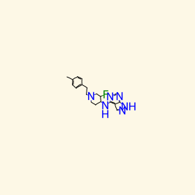 Cc1ccc(CCN2CCC(Nc3ncnc4[nH]ncc34)C(F)C2)cc1